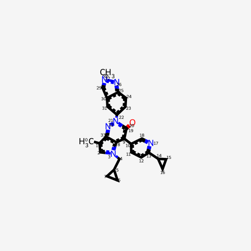 Cc1cn(CC2CC2)c2c(-c3ccc(C4CC4)nc3)c(=O)n(-c3ccc4nn(C)cc4c3)nc12